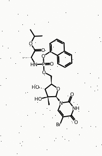 CC(C)OC(=O)[C@@H](C)NP(=O)(OC[C@H]1O[C@@H](n2cc(Br)c(=O)[nH]c2=O)[C@](C)(O)[C@@H]1O)Oc1cccc2ccccc12